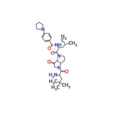 CC(C)CC(NC(=O)c1ccc(N2CCCC2)cc1)C(=O)N1CCC2C1C(=O)CN2C(=O)C(N)CC(C)(C)C